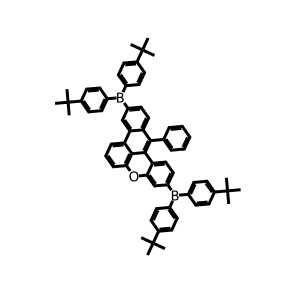 CC(C)(C)c1ccc(B(c2ccc(C(C)(C)C)cc2)c2ccc3c(c2)Oc2cccc4c2c-3c(-c2ccccc2)c2ccc(B(c3ccc(C(C)(C)C)cc3)c3ccc(C(C)(C)C)cc3)cc24)cc1